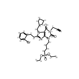 C#CCn1c(=O)c2c(nc(CCc3ccccc3Br)n2CC2CCCC2)n(CCCCP(=O)(OCC)OCC)c1=O